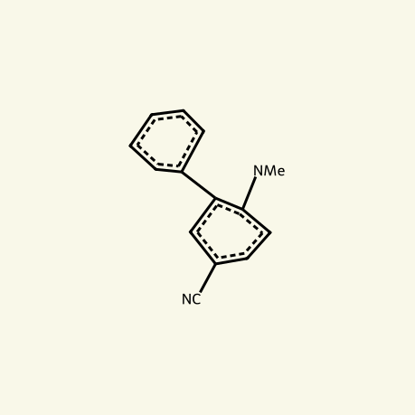 CNc1ccc(C#N)cc1-c1ccccc1